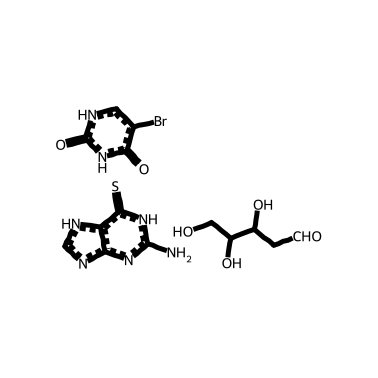 Nc1nc2nc[nH]c2c(=S)[nH]1.O=CCC(O)C(O)CO.O=c1[nH]cc(Br)c(=O)[nH]1